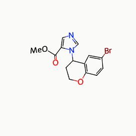 COC(=O)c1cncn1C1CCOc2ccc(Br)cc21